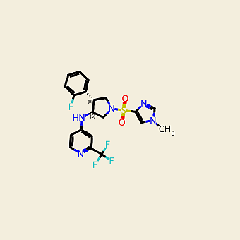 Cn1cnc(S(=O)(=O)N2C[C@@H](Nc3ccnc(C(F)(F)F)c3)[C@H](c3ccccc3F)C2)c1